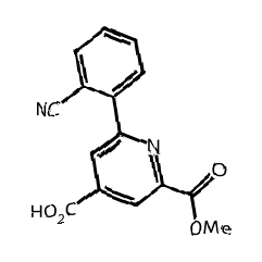 COC(=O)c1cc(C(=O)O)cc(-c2ccccc2C#N)n1